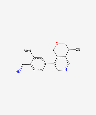 CNc1cc(-c2cncc3c2COCC3C#N)ccc1C=N